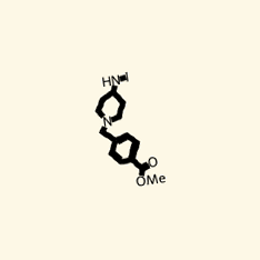 COC(=O)c1ccc(CN2CCC(NI)CC2)cc1